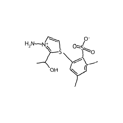 CC(O)c1scc[n+]1N.Cc1cc(C)c(S(=O)(=O)[O-])c(C)c1